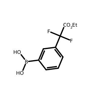 CCOC(=O)C(F)(F)c1cccc(B(O)O)c1